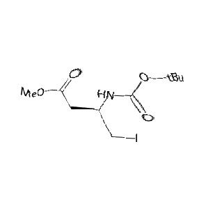 COC(=O)C[C@H](CI)NC(=O)OC(C)(C)C